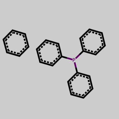 c1ccc(P(c2ccccc2)c2ccccc2)cc1.c1ccccc1